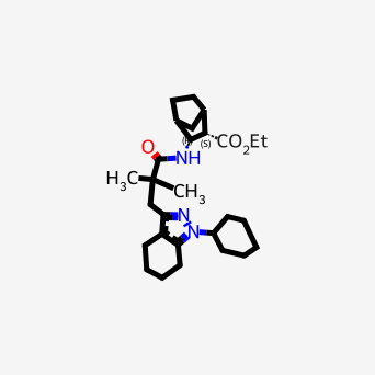 CCOC(=O)[C@H]1C2CCC(C2)[C@H]1NC(=O)C(C)(C)Cc1nn(C2CCCCC2)c2c1CCCC2